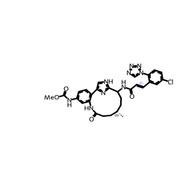 COC(=O)Nc1ccc2c(c1)NC(=O)CC[C@@H](C)CCC(NC(=O)/C=C/c1cc(Cl)ccc1-n1cnnn1)c1nc-2c[nH]1